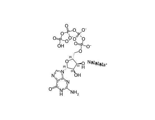 Nc1nc2c(ncn2[C@@H]2O[C@H](COP(=O)([O-])OP(=O)([O-])OP(=O)([O-])OP(=O)([O-])O)[C@@H](O)[C@H]2O)c(=O)[nH]1.[Na+].[Na+].[Na+].[Na+]